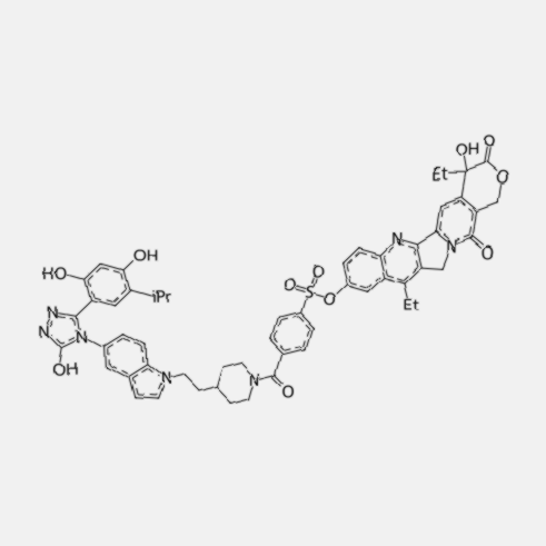 CCc1c2c(nc3ccc(OS(=O)(=O)c4ccc(C(=O)N5CCC(CCn6ccc7cc(-n8c(O)nnc8-c8cc(C(C)C)c(O)cc8O)ccc76)CC5)cc4)cc13)-c1cc3c(c(=O)n1C2)COC(=O)C3(O)CC